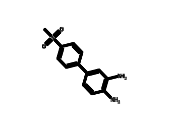 CS(=O)(=O)c1ccc(-c2ccc(N)c(N)c2)cc1